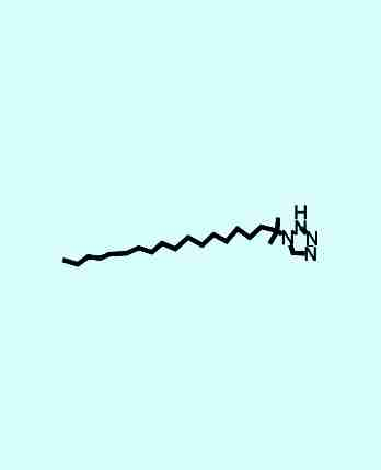 CCCCCCCCCCCCCCCCCC(C)(C)N1CN=NN1